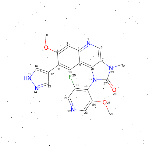 COc1cc2ncc3c(c2cc1-c1cn[nH]c1)n(-c1c(F)cncc1OC)c(=O)n3C